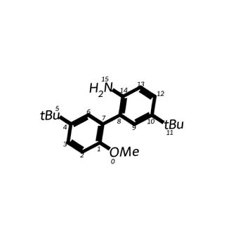 COc1ccc(C(C)(C)C)cc1-c1cc(C(C)(C)C)ccc1N